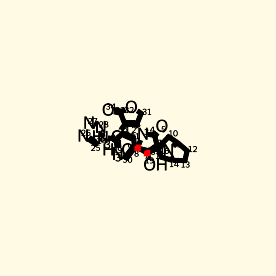 CC1=C(N2C(=O)C3(CC2C)CC2CCC(C3)N2C[C@@H](O)c2ccc(-n3cnnn3)nc2)COC1=O